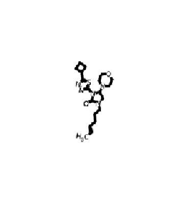 CC=CCCCN1CC(N2CCOCC2)N(c2nnc(C3CCC3)s2)C1=O